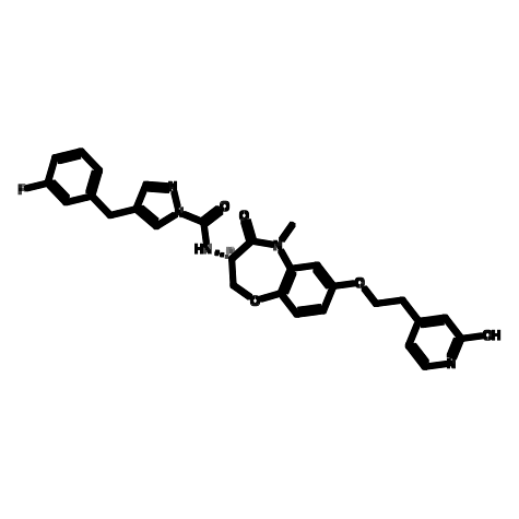 CN1C(=O)[C@@H](NC(=O)n2cc(Cc3cccc(F)c3)cn2)COc2ccc(OCCc3ccnc(O)c3)cc21